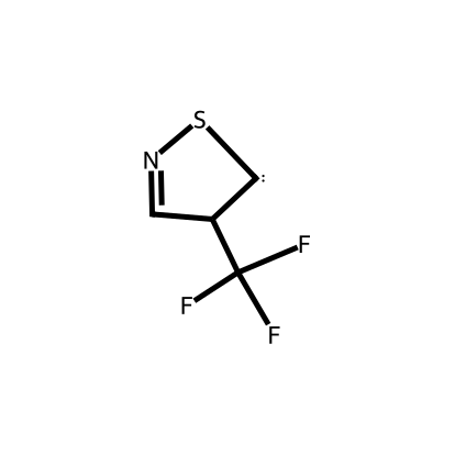 FC(F)(F)C1[C]SN=C1